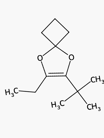 CCC1=C(C(C)(C)C)OC2(CCC2)O1